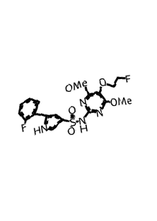 COc1nc(NS(=O)(=O)c2c[nH]c(-c3ccccc3F)c2)nc(OC)c1OCCF